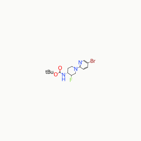 CC(C)(C)OC(=O)N[C@@H]1CCN(c2ccc(Br)cn2)CC1F